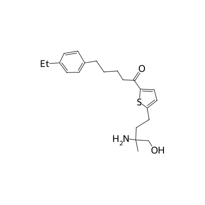 CCc1ccc(CCCCC(=O)c2ccc(CCC(C)(N)CO)s2)cc1